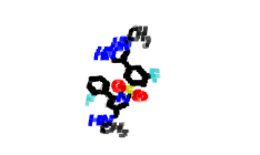 CN/C=C(\C=N)c1cc(F)cc(S(=O)(=O)n2cc(CNC)cc2-c2ccccc2F)c1